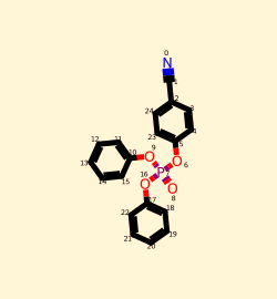 N#Cc1ccc(OP(=O)(Oc2ccccc2)Oc2ccccc2)cc1